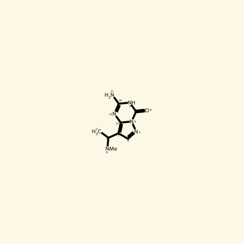 CNC(C)c1cnn2c(=O)[nH]c(N)nc12